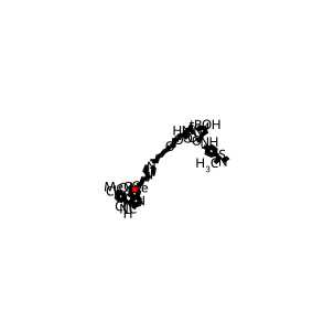 COc1cc(Nc2c(C#N)cnc3cc(OCCCN4CCN(CCCCCCOCCOCC(=O)NC(C(=O)N5C[C@H](O)CC5C(=O)NCc5ccc(-c6scnc6C)cc5)C(C)(C)C)CC4)c(OC)cc23)c(Cl)cc1Cl